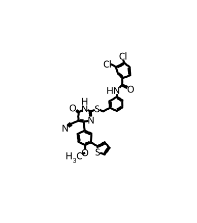 COc1ccc(-c2nc(SCc3cccc(NC(=O)c4ccc(Cl)c(Cl)c4)c3)[nH]c(=O)c2C#N)cc1-c1cccs1